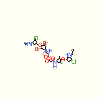 Cc1cc(NC(=O)CC(=O)OC(=O)CC(=O)Nc2cc(Br)c(OCc3cc(Cl)cc(NCC4CC4)c3)c(Br)c2)cc(C)c1OCc1cc(Cl)cc(NCC2CC2)c1